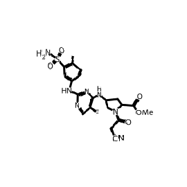 COC(=O)C1CC(Nc2nc(Nc3ccc(C)c(S(N)(=O)=O)c3)ncc2F)CN1C(=O)CC#N